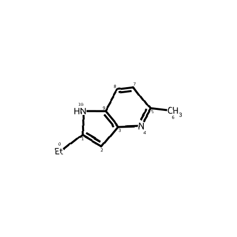 CCc1cc2nc(C)ccc2[nH]1